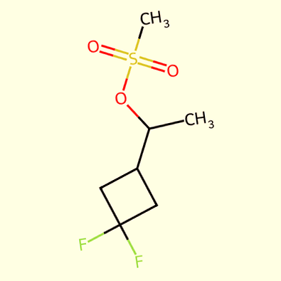 CC(OS(C)(=O)=O)C1CC(F)(F)C1